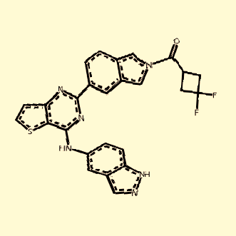 O=C(C1CC(F)(F)C1)n1cc2ccc(-c3nc(Nc4ccc5[nH]ncc5c4)c4sccc4n3)cc2c1